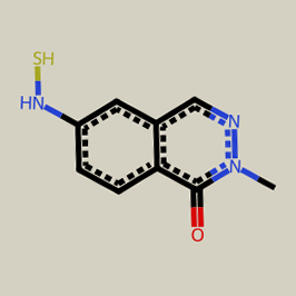 Cn1ncc2cc(NS)ccc2c1=O